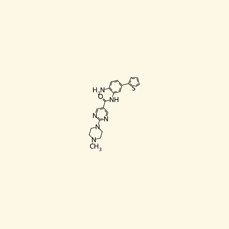 CN1CCN(c2ncc(C(=O)Nc3cc(-c4cccs4)ccc3N)cn2)CC1